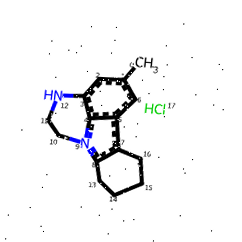 Cc1cc2c3c(c1)c1c(n3CCN2)CCCC1.Cl